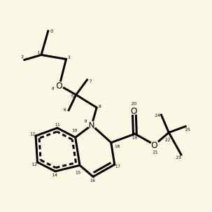 CC(C)COC(C)(C)CN1c2ccccc2C=CC1C(=O)OC(C)(C)C